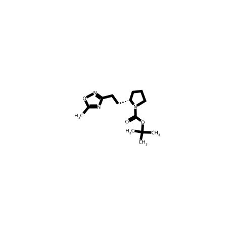 Cc1nc(CC[C@@H]2CCCN2C(=O)OC(C)(C)C)no1